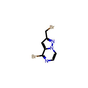 BrCc1cc2c(Br)nccn2n1